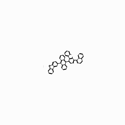 CC1(C)c2ccccc2-c2cc(-c3c4ccccc4c(-c4cc5oc6ccc7ccccc7c6c5c5sc6ccccc6c45)c4ccccc34)ccc21